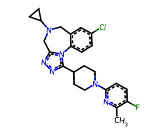 Cc1nc(N2CCC(c3nnc4n3-c3ccc(Cl)cc3CN(C3CC3)C4)CC2)ccc1F